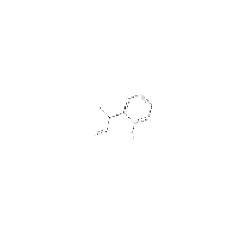 CC(C=O)c1ccccc1N